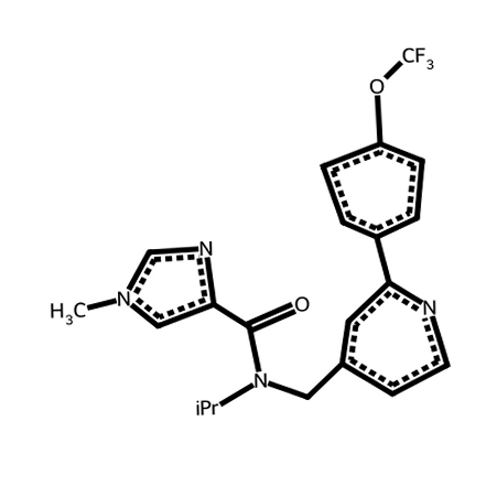 CC(C)N(Cc1ccnc(-c2ccc(OC(F)(F)F)cc2)c1)C(=O)c1cn(C)cn1